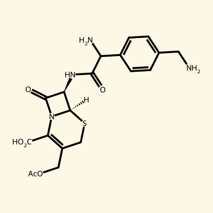 CC(=O)OCC1=C(C(=O)O)N2C(=O)[C@@H](NC(=O)C(N)c3ccc(CN)cc3)[C@H]2SC1